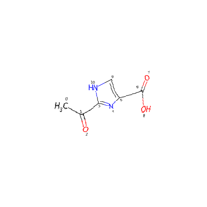 CC(=O)c1nc(C(=O)O)c[nH]1